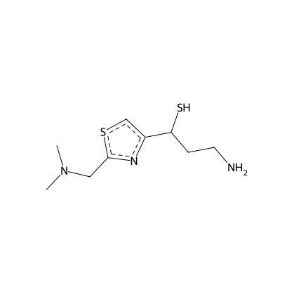 CN(C)Cc1nc(C(S)CCN)cs1